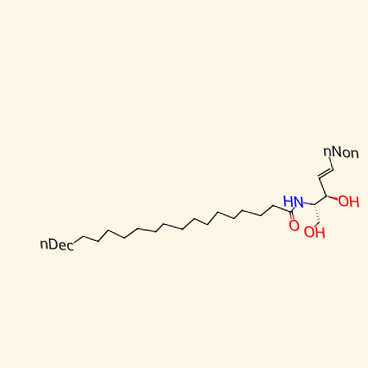 CCCCCCCCC/C=C/[C@@H](O)[C@H](CO)NC(=O)CCCCCCCCCCCCCCCCCCCCCCCCC